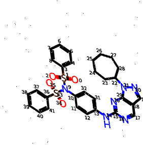 O=S(=O)(c1ccccc1)N(c1ccc(Nc2ncc3cnn(C4CCCCCC4)c3n2)cc1)S(=O)(=O)c1ccccc1